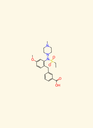 CCS(=O)(=O)N(c1cc(OC)ccc1Cc1cccc(C(=O)O)c1)N1CCN(C)CC1